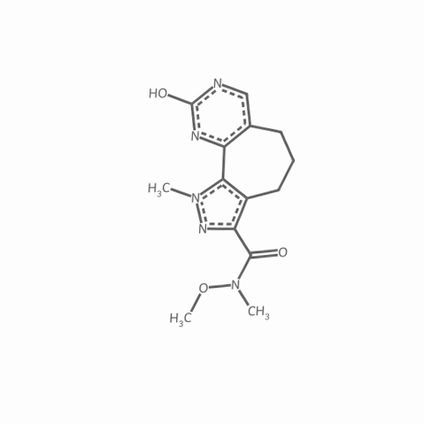 CON(C)C(=O)c1nn(C)c2c1CCCc1cnc(O)nc1-2